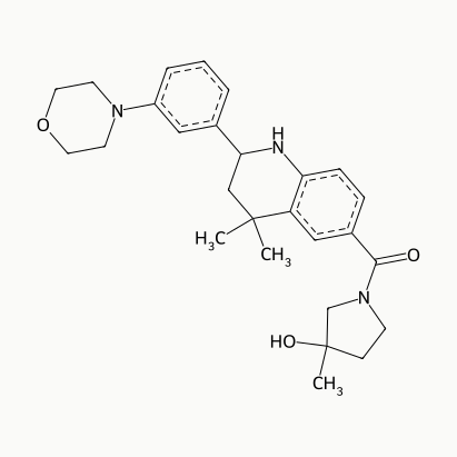 CC1(O)CCN(C(=O)c2ccc3c(c2)C(C)(C)CC(c2cccc(N4CCOCC4)c2)N3)C1